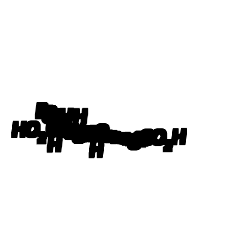 O=C(CBr)NCCCCC(NC(=O)COCCOCCNC(=O)COCCOCCNC(=O)CCCCCCCCCCCCCCOc1ccc(C(=O)O)cc1)C(=O)O